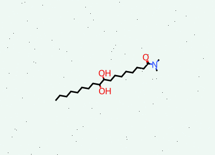 CCCCCCCCC(O)C(O)CCCCCCCC(=O)N(C)C